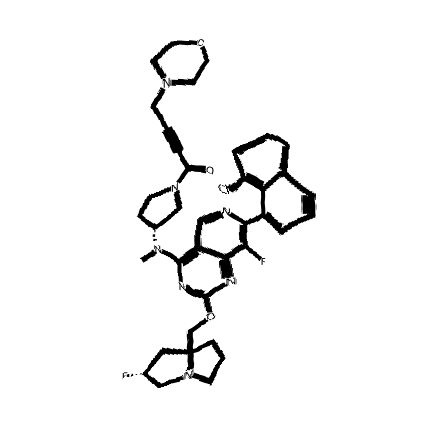 CN(c1nc(OCC23CCCN2C[C@H](F)C3)nc2c(F)c(-c3cccc4cccc(Cl)c34)ncc12)[C@@H]1CCN(C(=O)C#CCN2CCOCC2)C1